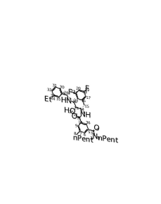 CCCCCN(CCCCC)C(=O)c1cc(C)cc(C(=O)N[C@@H](Cc2cc(F)cc(F)c2)[C@H](O)CNCc2cccc(CC)c2)c1